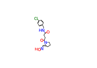 O=C(CCC(=O)N1CCC[C@H]1C=NO)NCc1ccc(Cl)cc1